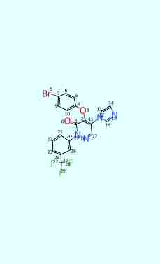 O=c1c(Oc2ccc(Br)cc2)c(-n2ccnc2)cnn1-c1cccc(C(F)(F)F)c1